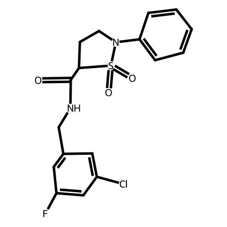 O=C(NCc1cc(F)cc(Cl)c1)C1CCN(c2ccccc2)S1(=O)=O